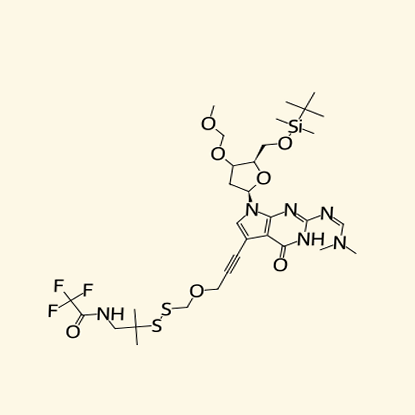 COCOC1C[C@H](n2cc(C#CCOCSSC(C)(C)CNC(=O)C(F)(F)F)c3c(=O)[nH]c(/N=C\N(C)C)nc32)O[C@@H]1CO[Si](C)(C)C(C)(C)C